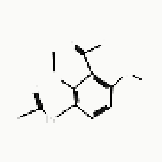 COc1ccc(NC(C)=O)c(OC)c1C(=O)O